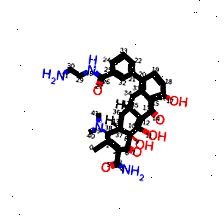 CC1=C(C(N)=O)C(=O)[C@@]2(O)C(O)=C3C(=O)c4c(O)ccc(-c5cccc(C(=O)NCCN)c5)c4C[C@H]3C[C@H]2[C@@H]1N(C)C